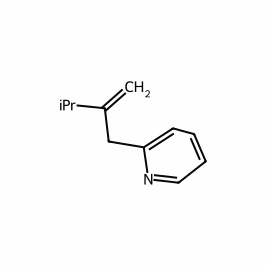 C=C(Cc1ccccn1)C(C)C